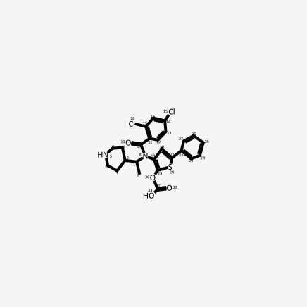 CC(C1CCNCC1)N(C(=O)c1ccc(Cl)cc1Cl)c1cc(-c2ccccc2)sc1OC(=O)O